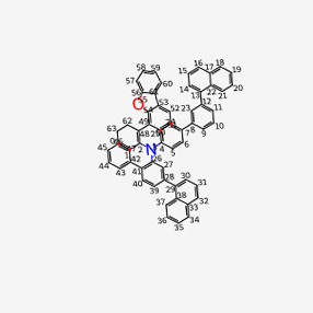 C1=CC(N(c2ccc(-c3cccc(-c4cccc5ccccc45)c3)cc2)c2cc(-c3cccc4ccccc34)ccc2-c2ccccc2)=C(c2cccc3c2oc2ccccc23)CC1